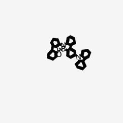 O=P12B3c4ccc(-n5c6ccccc6c6ccccc65)cc4-c4ccccc4N3c3cccc(c31)-c1ccccc12